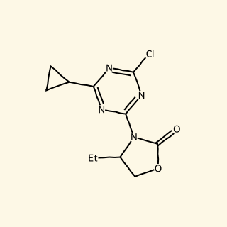 CCC1COC(=O)N1c1nc(Cl)nc(C2CC2)n1